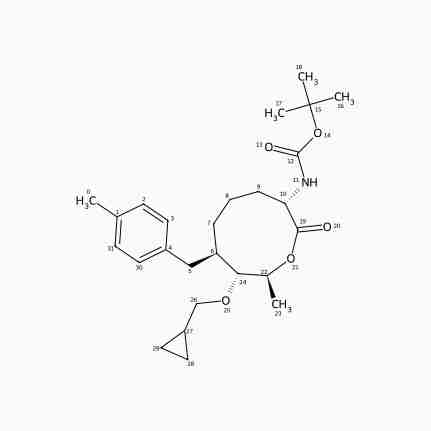 Cc1ccc(C[C@H]2CCC[C@H](NC(=O)OC(C)(C)C)C(=O)O[C@@H](C)[C@@H]2OCC2CC2)cc1